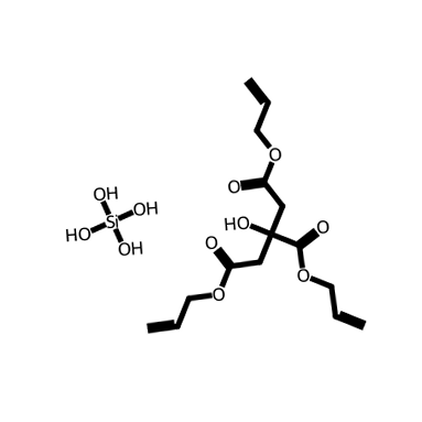 C=CCOC(=O)CC(O)(CC(=O)OCC=C)C(=O)OCC=C.O[Si](O)(O)O